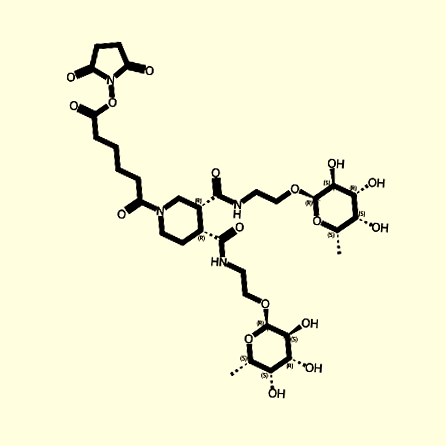 C[C@@H]1O[C@@H](OCCNC(=O)[C@H]2CN(C(=O)CCCCC(=O)ON3C(=O)CCC3=O)CC[C@H]2C(=O)NCCO[C@@H]2O[C@@H](C)[C@@H](O)[C@@H](O)[C@@H]2O)[C@@H](O)[C@H](O)[C@@H]1O